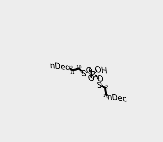 CCCCCCCCCCCCSOP(=O)(O)OSCCCCCCCCCCCC